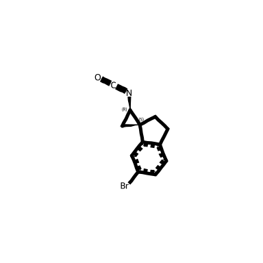 O=C=N[C@@H]1C[C@]12CCc1ccc(Br)cc12